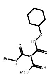 COC(=N)N(C(=O)NSC1CCCCC1)C(=O)NC(C)(C)C